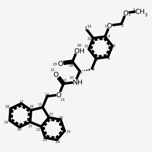 COCOc1ccc(C[C@H](NC(=O)OCC2c3ccccc3-c3ccccc32)C(=O)O)cc1I